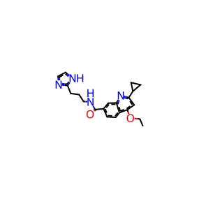 CCOc1cc(C2CC2)nc2cc(C(=O)NCCCc3ncc[nH]3)ccc12